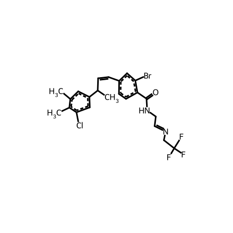 Cc1cc(C(C)/C=C\c2ccc(C(=O)NC/C=N/CC(F)(F)F)c(Br)c2)cc(Cl)c1C